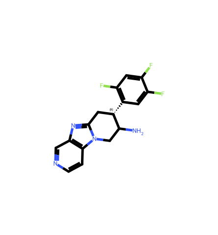 NC1Cn2c(nc3cnccc32)C[C@@H]1c1cc(F)c(F)cc1F